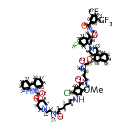 COc1cc(NCCCCCC(=O)N(C)CCN2CCC(OC(=O)Nc3ccccc3-c3ccccc3)CC2)c(Cl)cc1C(=O)N(C)CCCN(C)C(=O)CO[C@H]1Cc2ccccc2C12CCN(CC[C@@]1(c3ccc(F)cc3)CN(C(=O)c3cc(C(F)(F)F)cc(C(F)(F)F)c3)CO1)CC2